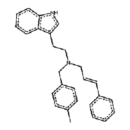 Cc1ccc(CN(C/C=C/c2ccccc2)CCc2c[nH]c3ccccc23)cc1